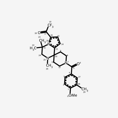 COc1ccc(C(=O)N2CCC3(CC2)c2ccc(C(=O)C(F)(F)F)n2C(C)(C)CN3C)cc1C